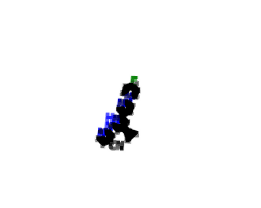 N#Cc1ccnc(Nc2cc(C3CC3)cc(-c3ccc(N4CCC(F)CC4)nc3)n2)c1